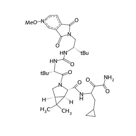 CO[n+]1ccc2c(c1)C(=O)N(C[C@@H](NC(=O)N[C@H](C(=O)N1C[C@H]3[C@@H]([C@H]1C(=O)NC(CC1CC1)C(=O)C(N)=O)C3(C)C)C(C)(C)C)C(C)(C)C)C2=O